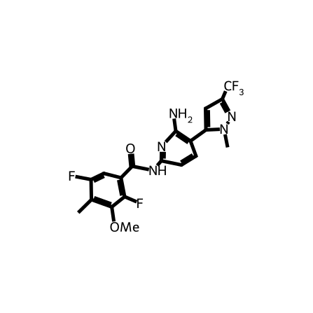 COc1c(C)c(F)cc(C(=O)Nc2ccc(-c3cc(C(F)(F)F)nn3C)c(N)n2)c1F